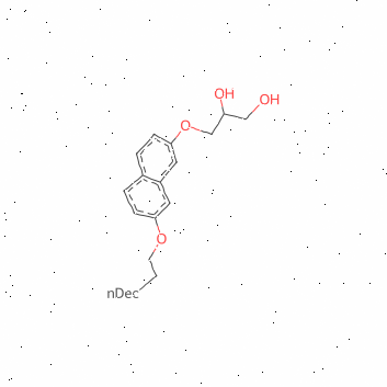 CCCCCCCCCCCCOc1ccc2ccc(OCC(O)CO)cc2c1